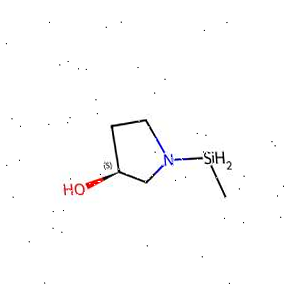 C[SiH2]N1CC[C@H](O)C1